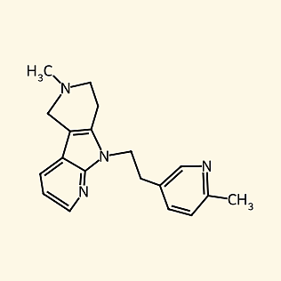 Cc1ccc(CCn2c3c(c4cccnc42)CN(C)CC3)cn1